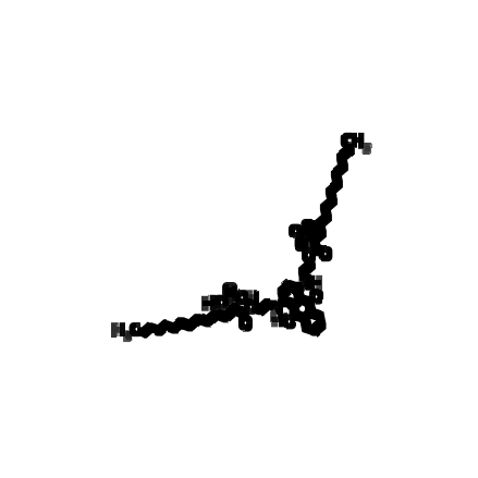 CCCCCCCCCCCCC(C(=O)OCCNc1ccc(NCCOC(=O)C(CCCCCCCCCCCC)P(=O)(O)O)c2c1C(=O)c1ccccc1C2=O)P(=O)(O)O